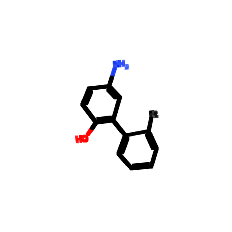 CCc1ccccc1-c1cc(N)ccc1O